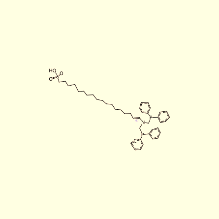 O=S(=O)(O)CCCCCCCCCCCCCCCC/C=C/N(CP(c1ccccc1)c1ccccc1)CP(c1ccccc1)c1ccccc1